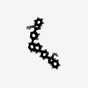 Cn1c(-c2ccc(-c3cccc4cc(-c5ccc(-c6nc7ccccc7n6C)nc5)ccc34)cc2)nc2ccccc21